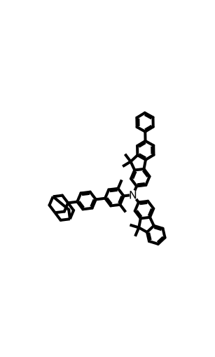 Cc1cc(-c2ccc(C34CC5CC(CC(C5)C3)C4)cc2)cc(C)c1N(c1ccc2c(c1)C(C)(C)c1ccccc1-2)c1ccc2c(c1)C(C)(C)c1cc(-c3ccccc3)ccc1-2